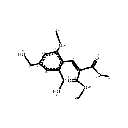 COC(=O)C(=Cc1c(CO)cc(CO)cc1OC)C(=O)OC